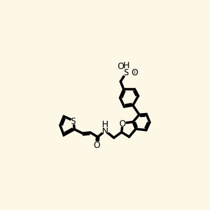 O=C(/C=C/c1cccs1)NCC1Cc2cccc(-c3ccc(C[SH](=O)=O)cc3)c2O1